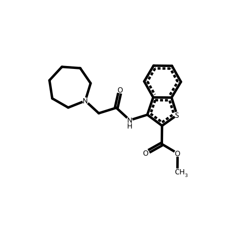 COC(=O)c1sc2ccccc2c1NC(=O)CN1CCCCCC1